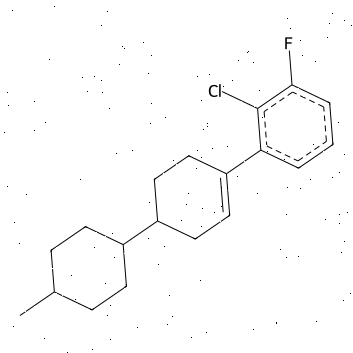 CC1CCC(C2CC=C(c3cccc(F)c3Cl)CC2)CC1